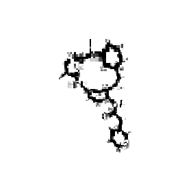 Cc1cnc2nc1Nc1ccc(NC(=O)Cc3cccnc3)c(c1)CCc1cccc(c1)N2